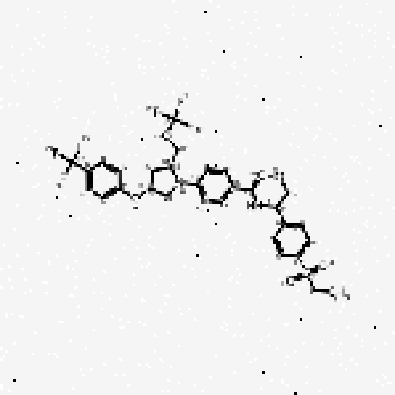 CCS(=O)(=O)c1ccc(C(CO)NC(=O)c2ccc(N3C[C@@H](Oc4ccc(C(F)(F)F)cc4)C[C@H]3COC(F)(F)F)nc2)cc1